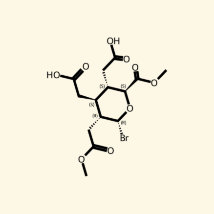 COC(=O)C[C@@H]1[C@@H](CC(=O)O)[C@H](CC(=O)O)[C@@H](C(=O)OC)O[C@@H]1Br